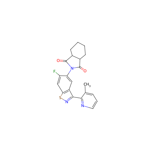 Cc1cccnc1-c1nsc2cc(F)c(N3C(=O)C4CCCCC4C3=O)cc12